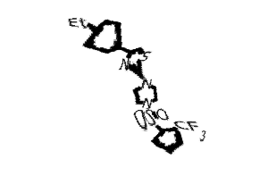 CCc1ccc(-c2csc(N3CCN(S(=O)(=O)c4ccccc4C(F)(F)F)CC3)n2)cc1